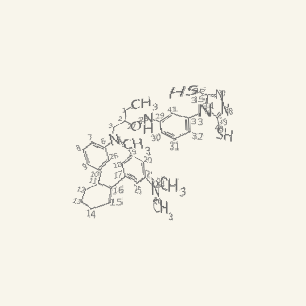 CCC(CN(C)c1cccc(C2CCCCC2c2cccc(N(C)C)c2)c1)ONc1cccc(-n2c(S)nnc2S)c1